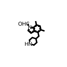 Cc1cc(C)c2c(ccn2C=O)c1CC1CCNCC1